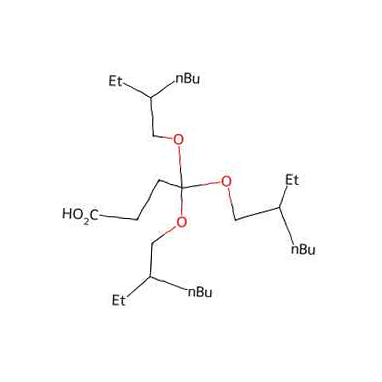 CCCCC(CC)COC(CCC(=O)O)(OCC(CC)CCCC)OCC(CC)CCCC